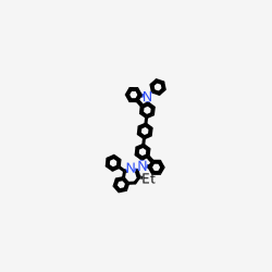 CCC1=C(n2c3ccccc3c3cc(-c4ccc(-c5ccc6c(c5)c5ccccc5n6-c5ccccc5)cc4)ccc32)N=C(c2ccccc2)c2ccccc2C1